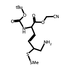 CSSC(C=CC(NC(=O)OC(C)(C)C)C(=O)OCC#N)CN